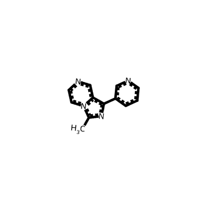 Cc1nc(-c2cccnc2)c2cnccn12